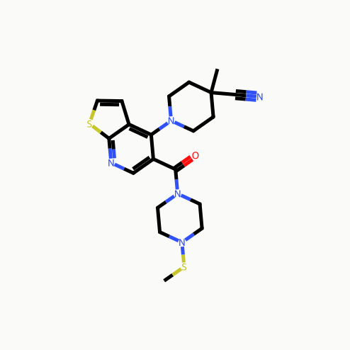 CSN1CCN(C(=O)c2cnc3sccc3c2N2CCC(C)(C#N)CC2)CC1